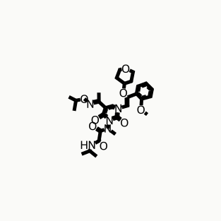 COc1ccccc1/C(=C/n1cc(/C(C)=N/OC(C)C)c(=O)n(N(C)C(=O)C(=O)NC(C)C)c1=O)OC1CCOCC1